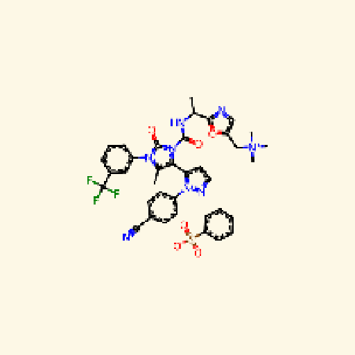 Cc1c(-c2ccnn2-c2ccc(C#N)cc2)n(C(=O)NC(C)c2ncc(C[N+](C)(C)C)o2)c(=O)n1-c1cccc(C(F)(F)F)c1.O=S(=O)([O-])c1ccccc1